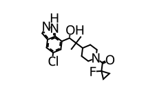 CC(C)(C1CCN(C(=O)C2(F)CC2)CC1)[C@H](O)c1cc(Cl)cc2cn[nH]c12